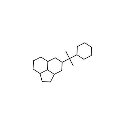 CC(C)(C1CCCCC1)C1CC2CCCC3CCC(C1)C32